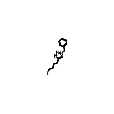 FCCCCc1cn(Cc2ccccc2)nn1